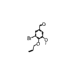 C=CCOc1c(Br)cc(C=O)cc1OC